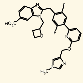 Cn1cnc(COc2cccc(-c3cc(F)c(Cc4nc5ccc(C(=O)O)cc5n4CC4CCO4)cc3F)n2)c1